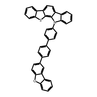 c1ccc2c(c1)oc1ccc(-c3ccc(-c4ccc(-n5c6ccccc6c6ccc7c8ccccc8sc7c65)cc4)cc3)cc12